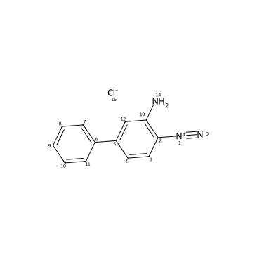 N#[N+]c1ccc(-c2ccccc2)cc1N.[Cl-]